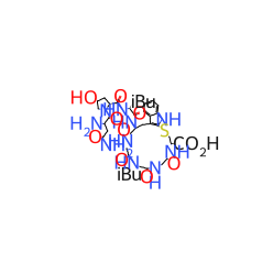 CC[C@H](C)[C@@H]1NC(=O)CNC(=O)[C@@H](NC(=O)[C@@H](NC(=O)[C@@H]2C[C@@H](O)CN2C(=O)[C@H](N)CC(N)=O)[C@@H](C)CC)Cc2c([nH]c3ccccc23)SC[C@@H](C(=O)O)NC(=O)CNC1=O